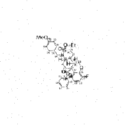 CC[C@@H]1C[C@@H]2[C@@H](CC[C@@]3(S(=O)(=O)c4ccccc4)c4c(F)ccc(F)c4OC[C@@H]23)N(Cc2ccc(OC)cc2)S1(=O)=O